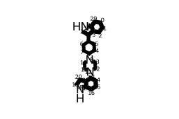 c1ccc2c(C3CCC(N4CCN(c5cccc6[nH]ccc56)CC4)CC3)c[nH]c2c1